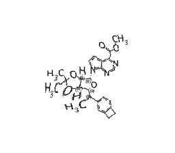 COC(=O)c1ncnc2c1ccn2[C@@H]1O[C@H]([C@H](C)c2ccc3c(c2)CC3)[C@H]2OC(C)(C)O[C@H]21